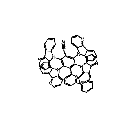 N#Cc1c(-n2c3ccccc3c3ncccc32)c(-n2c3ccccc3c3ncccc32)c(-c2cccc(-c3ccccc3)n2)c(-n2c3ccccc3c3ncccc32)c1-n1c2ccccc2c2ncccc21